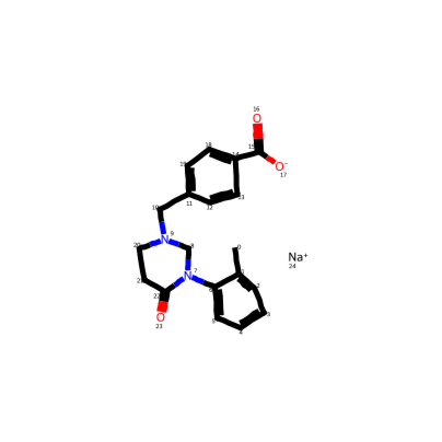 Cc1ccccc1N1CN(Cc2ccc(C(=O)[O-])cc2)CCC1=O.[Na+]